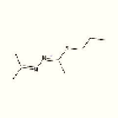 CCCS/C(C)=N/N=C(C)C